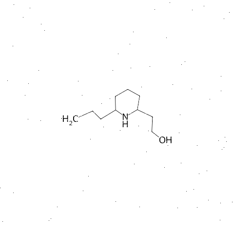 [CH2]CCC1CCCC(CCO)N1